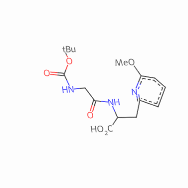 COc1cccc(CC(NC(=O)CNC(=O)OC(C)(C)C)C(=O)O)n1